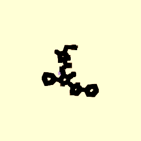 Cc1nc(N/N=C2\C(=O)N(c3nc(-c4ccccc4)cs3)N=C2c2ccccc2)sc1CC(C)C